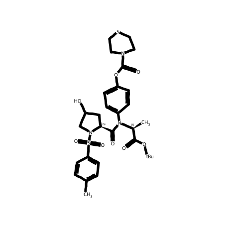 Cc1ccc(S(=O)(=O)N2CC(O)C[C@H]2C(=O)N(c2ccc(OC(=O)N3CCSCC3)cc2)[C@@H](C)C(=O)OC(C)(C)C)cc1